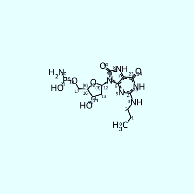 CCCNc1nc2c([nH]c(=O)n2[C@H]2C[C@H](O)[C@@H](COP(N)O)O2)c(=O)[nH]1